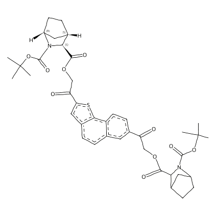 CC(C)(C)OC(=O)N1C2CCC(C2)C1C(=O)OCC(=O)c1ccc2c(ccc3cc(C(=O)COC(=O)[C@@H]4[C@H]5CC[C@H](C5)N4C(=O)OC(C)(C)C)sc32)c1